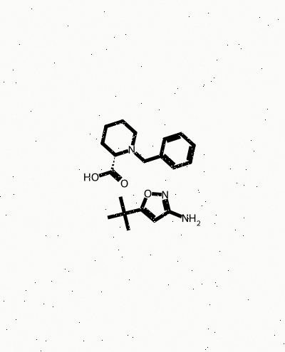 CC(C)(C)c1cc(N)no1.O=C(O)[C@@H]1CCCCN1Cc1ccccc1